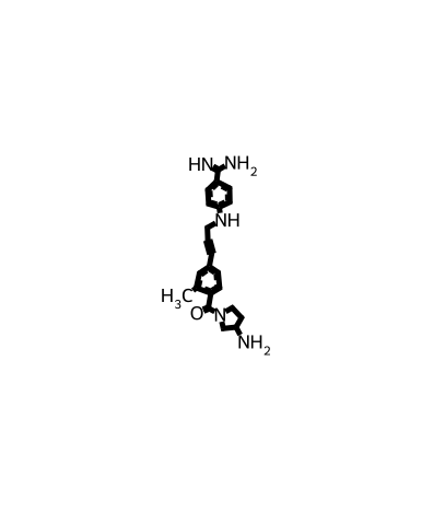 Cc1cc(C#CCNc2ccc(C(=N)N)cc2)ccc1C(=O)N1CCC(N)C1